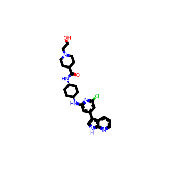 O=C(N[C@H]1CC[C@H](Nc2cc(-c3c[nH]c4ncccc34)cc(Cl)n2)CC1)C1CCN(CCO)CC1